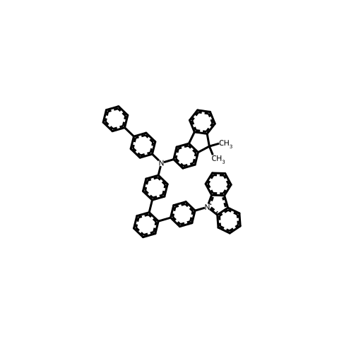 CC1(C)c2ccccc2-c2cc(N(c3ccc(-c4ccccc4)cc3)c3ccc(-c4ccccc4-c4ccc(-n5c6ccccc6c6ccccc65)cc4)cc3)ccc21